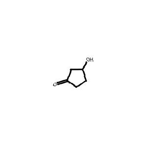 O=C1CCC(O)C1